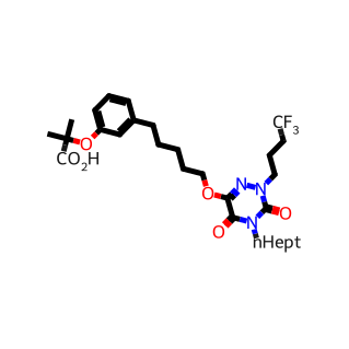 CCCCCCCn1c(=O)c(OCCCCCc2cccc(OC(C)(C)C(=O)O)c2)nn(CCCC(F)(F)F)c1=O